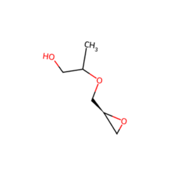 CC(CO)OC[C@@H]1CO1